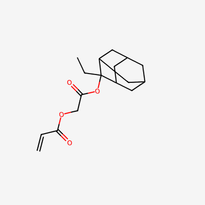 C=CC(=O)OCC(=O)OC1(CC)C2CC3CC(C2)CC1C3